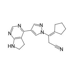 N#CCC(=C1CCCC1)n1cc(-c2ncnc3c2CCN3)cn1